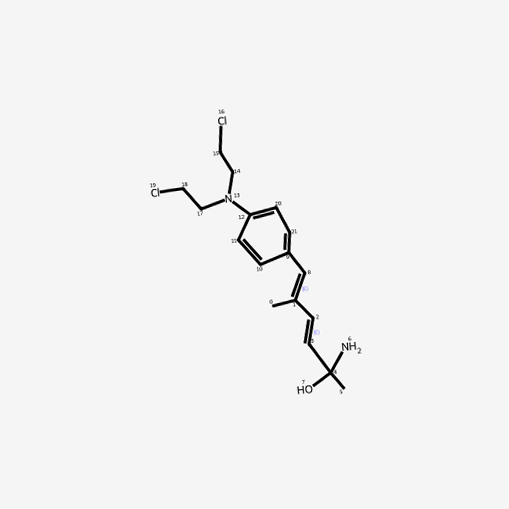 CC(/C=C/C(C)(N)O)=C\c1ccc(N(CCCl)CCCl)cc1